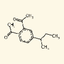 CCC(C)c1ccc(C(C)=O)c(C(C)=O)c1